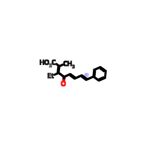 CCC(C(=O)C=C/C=C/c1ccccc1)=C(C)C(=O)O